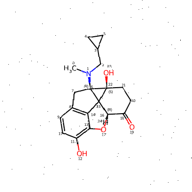 CN(CC1CC1)[C@]12Cc3ccc(O)c4c3C13[C@@H](O4)C(=O)CC[C@]32O